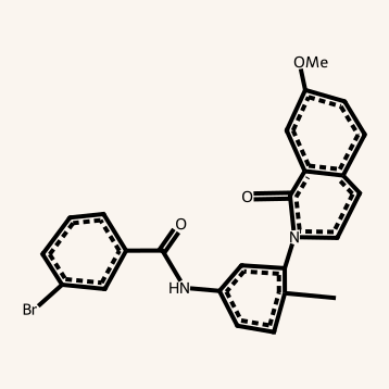 COc1ccc2ccn(-c3cc(NC(=O)c4cccc(Br)c4)ccc3C)c(=O)c2c1